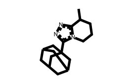 CC1CCCn2c1nnc2C12CC3CC(CC(C3)C1)C2